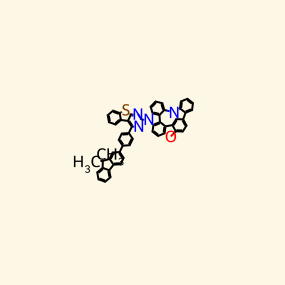 CC1(C)c2ccccc2-c2ccc(-c3ccc(-c4nc(-n5c6ccc7oc8ccc9c%10ccccc%10n%10c%11cccc5c%11c6c7c8c9%10)nc5sc6ccccc6c45)cc3)cc21